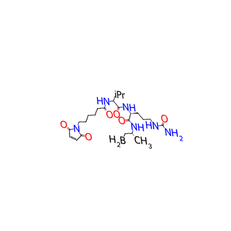 BC[C@@H](C)NC(=O)[C@H](CCCNC(N)=O)NC(=O)C(NC(=O)CCCCCN1C(=O)C=CC1=O)C(C)C